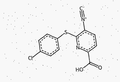 [C-]#[N+]c1ccc(C(=O)O)nc1Sc1ccc(Cl)cc1